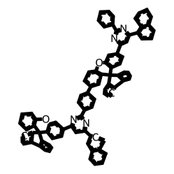 c1ccc(-c2nc(-c3ccc4c(c3)Oc3ccc(-c5ccc(-c6nc(-c7ccc8c(c7)Oc7ccccc7C87c8ccccc8-c8ccccc87)cc(-c7ccc8ccccc8c7)n6)cc5)cc3C43c4ccccc4-c4ccccc43)cc(-c3cccc4ccccc34)n2)cc1